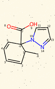 CC1C=CC=CC1(C(=O)O)n1cccn1